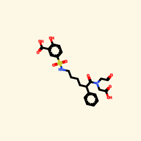 O=CCN(CC(=O)O)C(=O)C(CCCCNS(=O)(=O)c1ccc(O)c(C(=O)O)c1)c1ccccc1